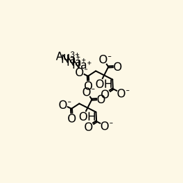 O=C([O-])CC(O)(CC(=O)[O-])C(=O)[O-].O=C([O-])CC(O)(CC(=O)[O-])C(=O)[O-].[Au+3].[Na+].[Na+].[Na+]